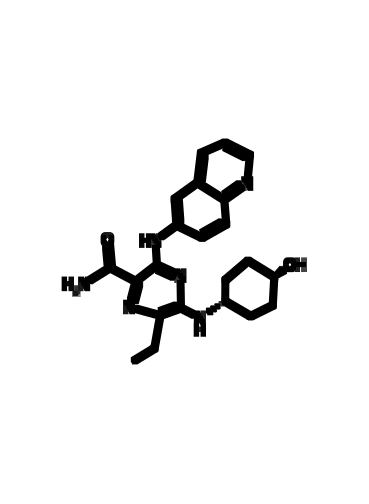 CCc1nc(C(N)=O)c(Nc2ccc3ncccc3c2)nc1N[C@H]1CC[C@H](O)CC1